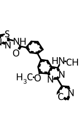 CNc1nc(-c2cccnc2)nc2c(OC)cc(-c3cccc(C(=O)Nc4nncs4)c3)cc12